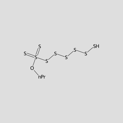 CCCOS(=S)(=S)SSSSSS